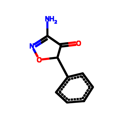 NC1=NOC(c2ccccc2)C1=O